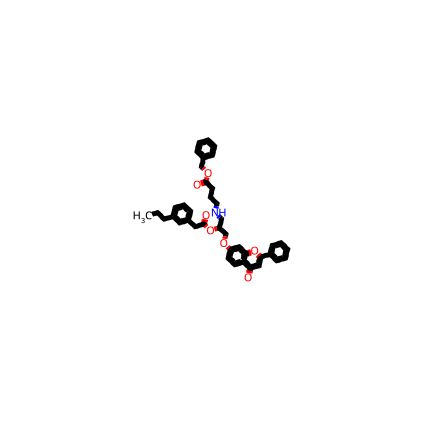 CCCc1cccc(CC(=O)OC(CNCCCC(=O)OCc2ccccc2)COc2ccc3c(=O)cc(-c4ccccc4)oc3c2)c1